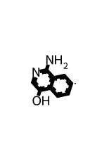 Nc1ncc(O)c2cc[c]cc12